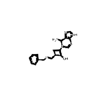 NC1c2nc[nH]c2N=CN1C1CC(COCc2ccccc2)C1O